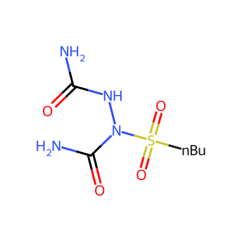 CCCCS(=O)(=O)N(NC(N)=O)C(N)=O